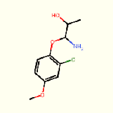 COc1ccc(OC(N)C(C)O)c(Cl)c1